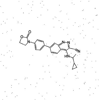 CC(Nc1c(C#N)nnc2cc(-c3ccc(N4CCOC4=O)cc3)ccc12)C1CC1